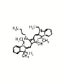 CCCCNC1=C(C=C2N(CC)c3ccccc3C2(C)C)C(O)C1C=C1N(CC)c2ccccc2C1(C)C